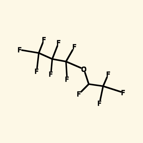 FC(OC(F)(F)C(F)(F)C(F)(F)F)C(F)(F)F